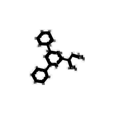 C=CC(=C)c1nc(-c2ccccc2)cc(-c2ccccc2)n1